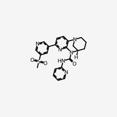 CS(=O)(=O)c1cncc(-c2ccc3c(n2)N(C(=O)Nc2ccccn2)[C@H]2CCCN3C2)c1